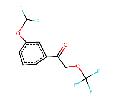 O=C(COC(F)(F)F)c1cccc(OC(F)F)c1